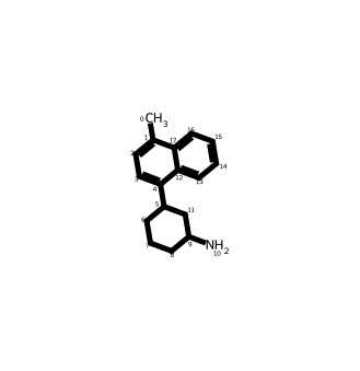 Cc1ccc(C2CCCC(N)C2)c2ccccc12